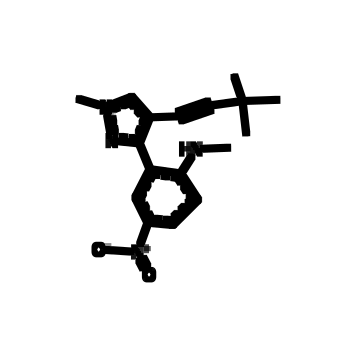 CNc1ccc([N+](=O)[O-])cc1-c1nn(C)cc1C#CC(C)(C)C